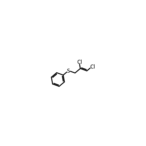 ClC=C(Cl)CSc1ccccc1